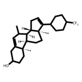 CC1C=C2CC(O)CC[C@]2(C)[C@@H]2CC[C@]3(C)C(C4CCC(C(F)(F)F)CC4)=CC[C@H]3[C@H]12